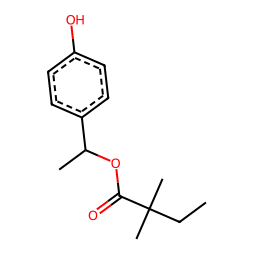 CCC(C)(C)C(=O)OC(C)c1ccc(O)cc1